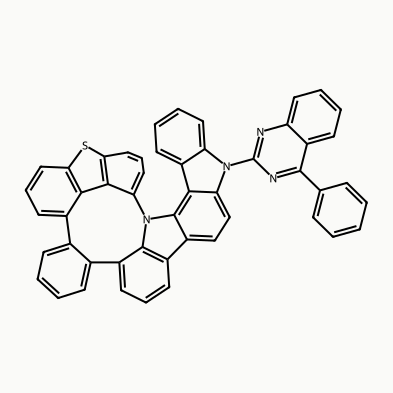 c1ccc(-c2nc(-n3c4ccccc4c4c3ccc3c5cccc6c7ccccc7c7cccc8sc9cccc(c9c87)n(c65)c34)nc3ccccc23)cc1